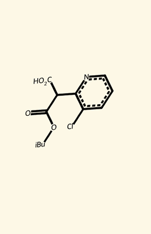 CCC(C)OC(=O)C(C(=O)O)c1ncccc1Cl